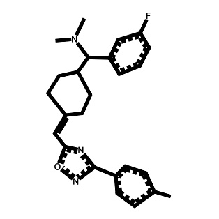 Cc1ccc(-c2noc(C=C3CCC(C(c4cccc(F)c4)N(C)C)CC3)n2)cc1